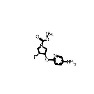 CC(C)(C)OC(=O)N1C[C@H](F)[C@H](Oc2ccc(N)cn2)C1